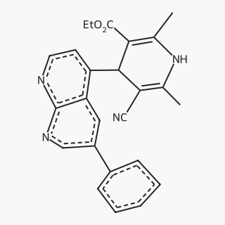 CCOC(=O)C1=C(C)NC(C)=C(C#N)C1c1ccnc2ncc(-c3ccccc3)cc12